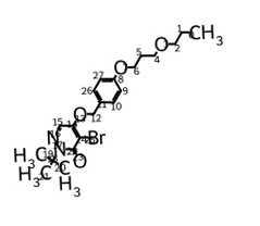 CCCOCCCOc1ccc(COc2cnn(C(C)(C)C)c(=O)c2Br)cc1